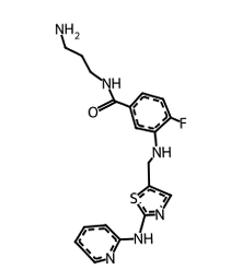 NCCCNC(=O)c1ccc(F)c(NCc2cnc(Nc3ccccn3)s2)c1